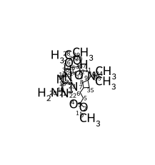 CCOC(=O)CCC1CC(N(CC2O[C@@H](n3cnc4c(N)ncnc43)[C@@H]3OC(C)(C)O[C@H]23)C(C)C)C1